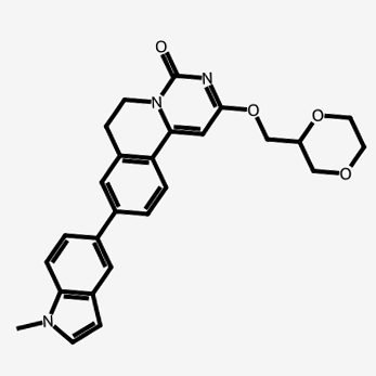 Cn1ccc2cc(-c3ccc4c(c3)CCn3c-4cc(OCC4COCCO4)nc3=O)ccc21